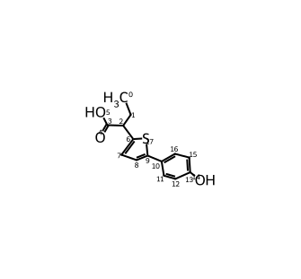 CCC(C(=O)O)c1ccc(-c2ccc(O)cc2)s1